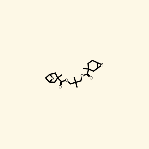 CC(C)(COC(=O)C1(C)CC2CC(C1)S2)COC(=O)C1(C)CCC2SC2C1